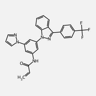 C=CC(=O)Nc1cc(-n2cccn2)cc(-n2nc(-c3ccc(C(F)(F)F)cc3)c3ccccc32)c1